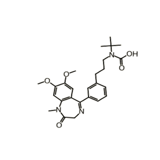 COc1cc2c(cc1OC)N(C)C(=O)CN=C2c1cccc(CCCN(C(=O)O)C(C)(C)C)c1